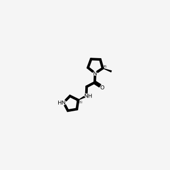 C[C@@H]1CCCN1C(=O)CN[C@H]1CCNC1